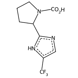 O=C(O)N1CCCC1c1ncc(C(F)(F)F)[nH]1